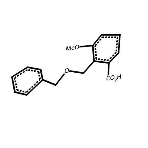 COc1cccc(C(=O)O)c1COCc1ccccc1